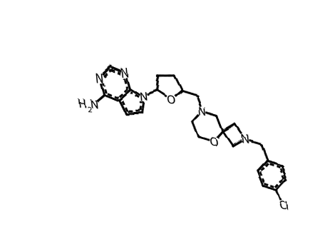 Nc1ncnc2c1ccn2C1CCC(CN2CCOC3(C2)CN(Cc2ccc(Cl)cc2)C3)O1